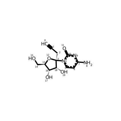 C#CC[C@@]1(n2ccc(N)nc2=O)O[C@H](CO)[C@@H](O)[C@H]1O